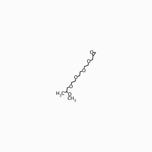 COC(C)COCCOCCOCCOCC1CO1